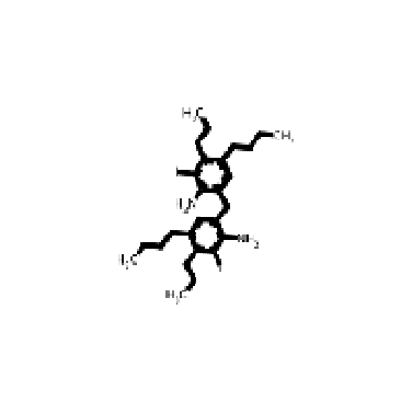 CCCCc1cc(Cc2cc(CCCC)c(CCC)c(I)c2N)c(N)c(I)c1CCC